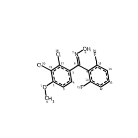 COc1ccc(C(=NO)c2c(F)cccc2F)c(Cl)c1Cl